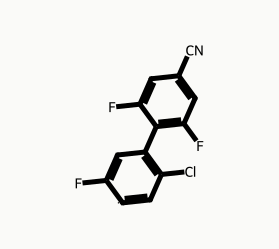 N#Cc1cc(F)c(-c2cc(F)[c]cc2Cl)c(F)c1